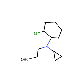 O=CCCN(C1CC1)C1CCC[CH]C1Cl